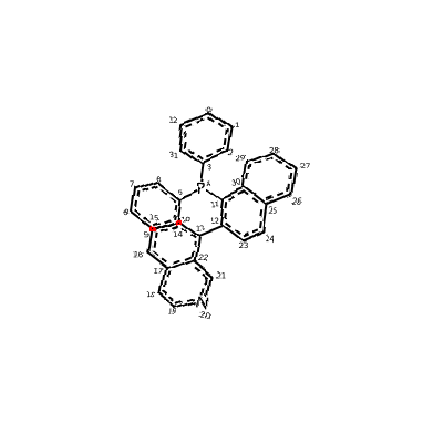 c1ccc(P(c2ccccc2)c2c(-c3cccc4ccncc34)ccc3ccccc23)cc1